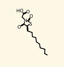 CCCCCCCCCC=C1SC(=O)N(CC(=O)O)C1=O